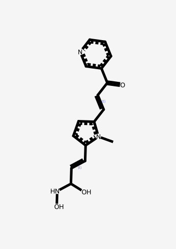 Cn1c(/C=C/C(=O)c2cccnc2)ccc1/C=C/C(O)NO